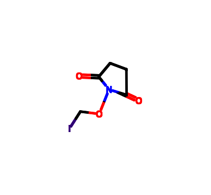 O=C1CCC(=O)N1OCI